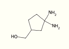 NC1(N)CCC(CO)C1